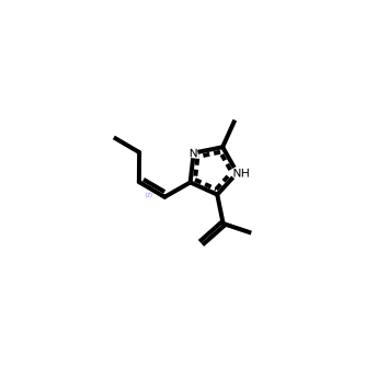 C=C(C)c1[nH]c(C)nc1/C=C\CC